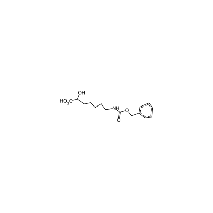 O=C(NCCCCCC(O)C(=O)O)OCc1ccccc1